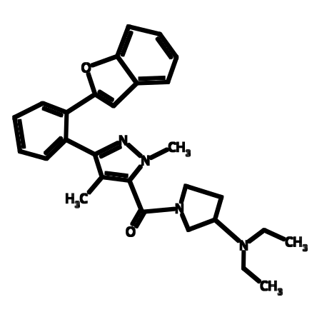 CCN(CC)C1CCN(C(=O)c2c(C)c(-c3ccccc3-c3cc4ccccc4o3)nn2C)C1